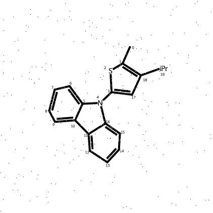 Cc1sc(-n2c3ccccc3c3ccccc32)cc1C(C)C